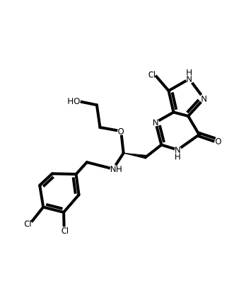 O=c1[nH]c(C[C@@H](NCc2ccc(Cl)c(Cl)c2)OCCO)nc2c(Cl)[nH]nc12